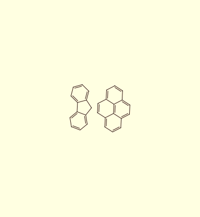 c1cc2ccc3cccc4ccc(c1)c2c34.c1ccc2c(c1)Cc1ccccc1-2